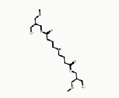 COCC(CO)COC(=O)CCCNCCCC(=O)OCC(CO)COC